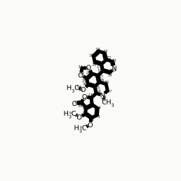 COc1ccc2c(c1OC)C(=O)OC2C1c2c(c(-c3cncc4ccccc34)c3c(c2OC)OCO3)CCN1C